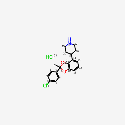 CC1(c2ccc(Cl)cc2)Oc2cccc(C3CCNCC3)c2O1.Cl